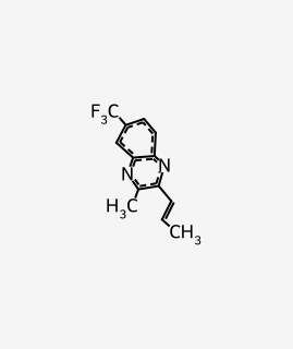 C/C=C/c1nc2ccc(C(F)(F)F)cc2nc1C